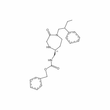 CCC(CN1CC[C@@H](CNC(=O)OCc2ccccc2)NCC1=O)c1ccccc1